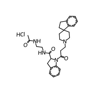 CC(=O)NCCNC(=O)C1Cc2ccccc2N1C(=O)CCN1CCC2(CCc3ccccc32)CC1.Cl